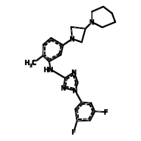 Cc1ccc(N2CC(N3CCCCC3)C2)cc1Nc1ncn(-c2cc(F)cc(F)c2)n1